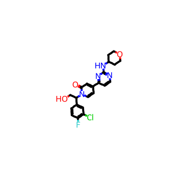 O=c1cc(-c2ccnc(NC3CCOCC3)n2)ccn1C(CO)c1ccc(F)c(Cl)c1